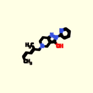 C/C=C\C=C(/C)CN1CCc2nn(-c3ccccn3)c(O)c2C1